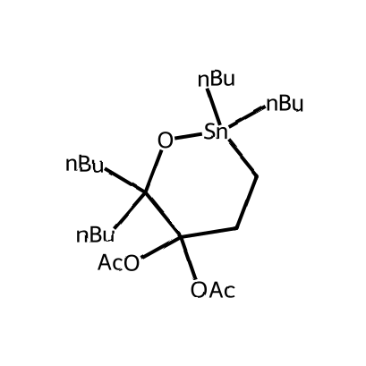 CCCCC1(CCCC)[O][Sn]([CH2]CCC)([CH2]CCC)[CH2]CC1(OC(C)=O)OC(C)=O